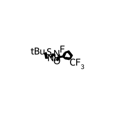 CC(C)(C)c1c[nH]c(=NC(=O)c2cc(C(F)(F)F)ccc2F)s1